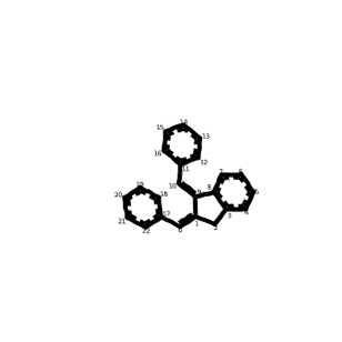 C(=C1Cc2ccccc2C1=Cc1ccccc1)c1ccccc1